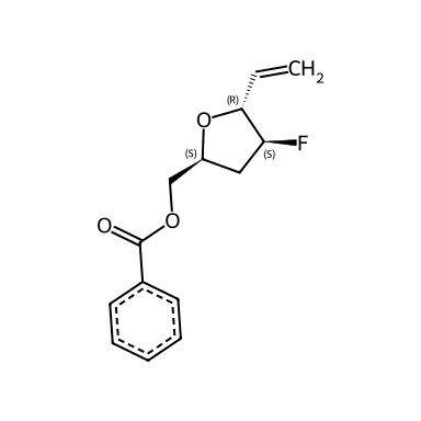 C=C[C@H]1O[C@H](COC(=O)c2ccccc2)C[C@@H]1F